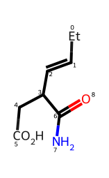 CCC=CC(CC(=O)O)C(N)=O